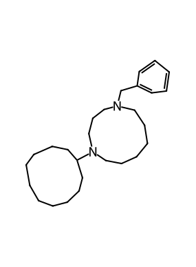 c1ccc(CN2CCCCCCN(C3CCCCCCCCCC3)CCC2)cc1